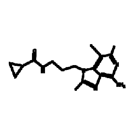 Cc1nc(N)c2nc(C)n(CCCNC(=O)C3CC3)c2c1C